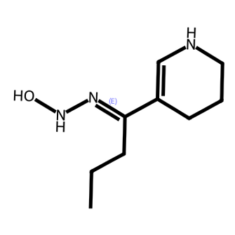 CCC/C(=N\NO)C1=CNCCC1